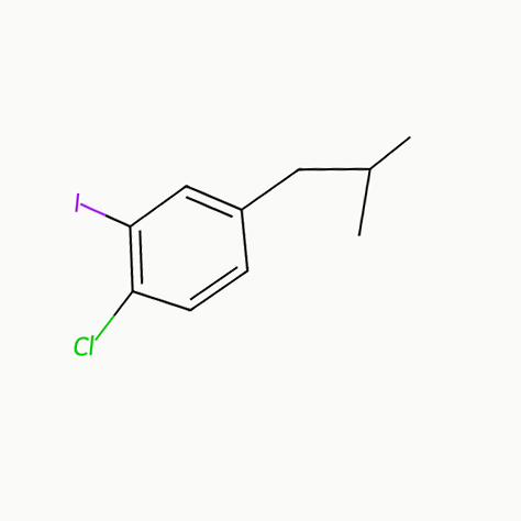 CC(C)Cc1ccc(Cl)c(I)c1